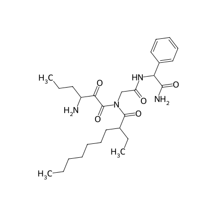 CCCCCCCC(CC)C(=O)N(CC(=O)NC(C(N)=O)c1ccccc1)C(=O)C(=O)C(N)CCC